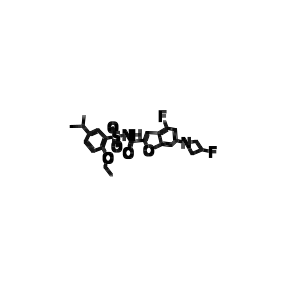 CCOc1ccc(C(C)C)cc1S(=O)(=O)NC(=O)c1cc2c(F)cc(N3CC(F)C3)cc2o1